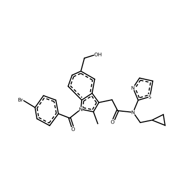 Cc1c(CC(=O)N(CC2CC2)c2nccs2)c2cc(CO)ccc2n1C(=O)c1ccc(Br)cc1